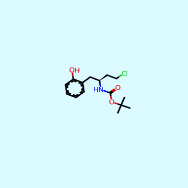 CC(C)(C)OC(=O)N[C@H](CCCl)Cc1ccccc1O